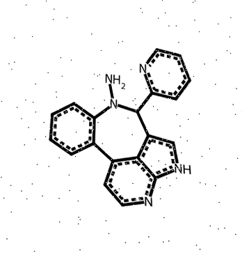 NN1c2ccccc2-c2ccnc3[nH]cc(c23)C1c1ccccn1